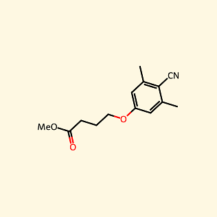 COC(=O)CCCOc1cc(C)c(C#N)c(C)c1